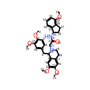 COc1ccc(CC2c3cc(OC)c(OC)cc3CCN2CC(=O)NC2CCc3c(OC)cccc32)cc1OC